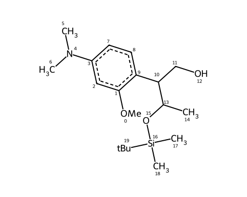 COc1cc(N(C)C)ccc1C(CO)C(C)O[Si](C)(C)C(C)(C)C